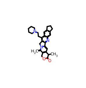 C=C1C2=C(C=C3c4nc5cc6c(cc5c(CCN5CCCCC5)c4CN13)CCC6)C(C)C(=O)OC2